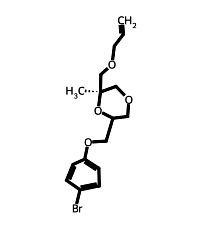 C=CCOC[C@@]1(C)COCC(COc2ccc(Br)cc2)O1